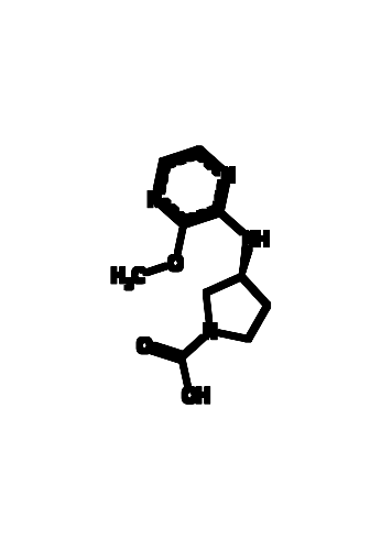 COc1nccnc1N[C@H]1CCN(C(=O)O)C1